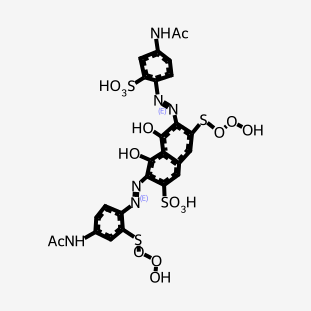 CC(=O)Nc1ccc(/N=N/c2c(S(=O)(=O)O)cc3cc(SOOO)c(/N=N/c4ccc(NC(C)=O)cc4S(=O)(=O)O)c(O)c3c2O)c(SOOO)c1